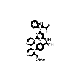 COCC1COCCN1c1ccc(C(C)Nc2cc(-n3c(C(F)F)nc4ccccc43)nc(N3CCOCC3)n2)cc1